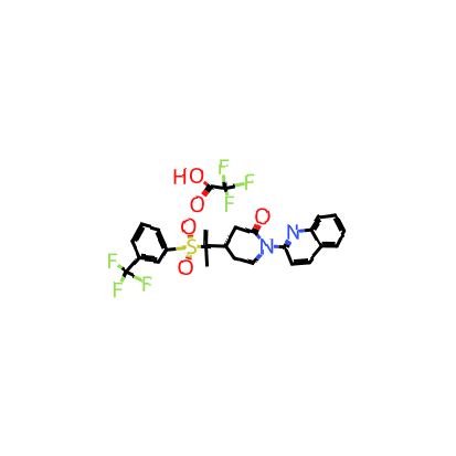 CC(C)(C1CCN(c2ccc3ccccc3n2)C(=O)C1)S(=O)(=O)c1cccc(C(F)(F)F)c1.O=C(O)C(F)(F)F